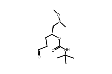 CON(C)C[C@H](CCC=O)OC(=O)NC(C)(C)C